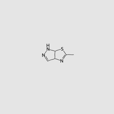 CC1=NC2C=NNC2S1